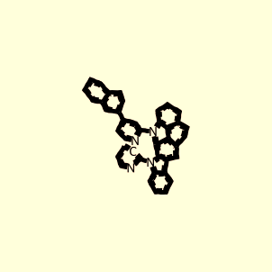 c1ccc(-n2c3ccccc3c3cc4ccc5cccc6c5c4c(c32)n6-c2cc(-c3ccc4ccccc4c3)ccn2)nc1